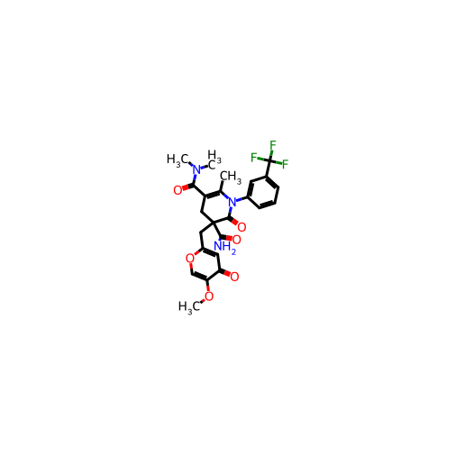 COc1coc(CC2(C(N)=O)CC(C(=O)N(C)C)=C(C)N(c3cccc(C(F)(F)F)c3)C2=O)cc1=O